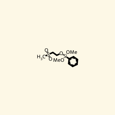 CO[Si](OC)(OCCS(C)(=O)=O)c1ccccc1